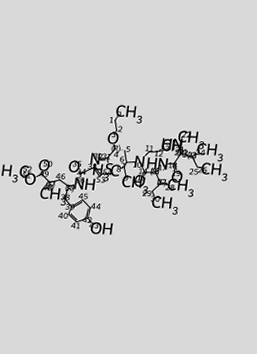 CCCO[C@H](CC(C(C)C)N(CCC)C(=O)[C@@H](NC(=O)[C@H](NC)[C@@H](C)CC)[C@@H](C)CC)c1nc(C(=O)N[C@@H](Cc2ccc(O)cc2)C[C@H](C)C(=O)OC)cs1